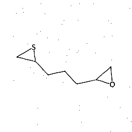 C(CC1CO1)CC1CS1